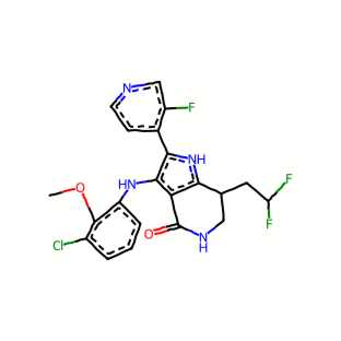 COc1c(Cl)cccc1Nc1c(-c2ccncc2F)[nH]c2c1C(=O)NCC2CC(F)F